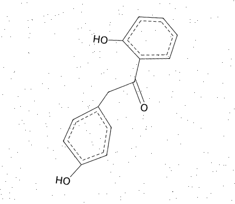 O=C(Cc1ccc(O)cc1)c1ccccc1O